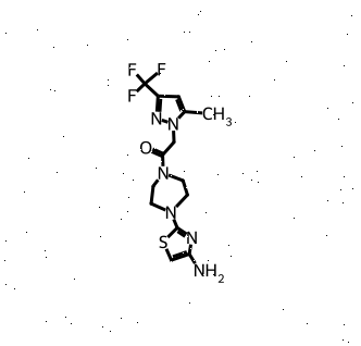 Cc1cc(C(F)(F)F)nn1CC(=O)N1CCN(c2nc(N)cs2)CC1